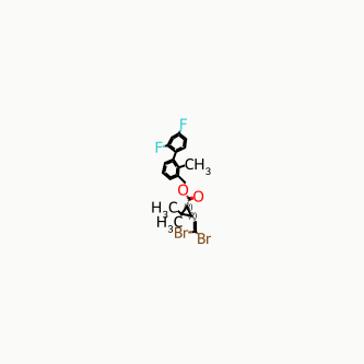 Cc1c(COC(=O)[C@@H]2[C@H](C=C(Br)Br)C2(C)C)cccc1-c1ccc(F)cc1F